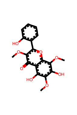 COc1c(O)c(OC)c2oc(-c3ccccc3O)c(OC)c(=O)c2c1O